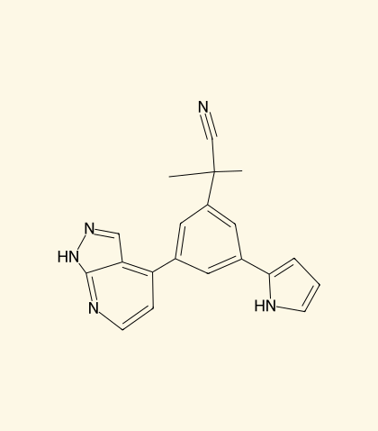 CC(C)(C#N)c1cc(-c2ccc[nH]2)cc(-c2ccnc3[nH]ncc23)c1